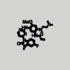 C=CC(=O)Nc1cc(Nc2nccc(-n3c(=O)n(C)c4cc(F)ccc43)n2)c(OC)cc1N(C)CCN(C)C